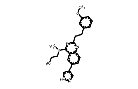 COc1cccc(CCc2nc(N(C)CCO)c3cc(-c4cn[nH]c4)ccc3n2)c1